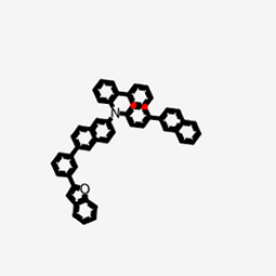 c1ccc(-c2ccccc2N(c2ccc(-c3ccc4ccccc4c3)cc2)c2ccc3cc(-c4cccc(-c5cc6ccccc6o5)c4)ccc3c2)cc1